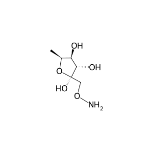 C[C@@H]1O[C@](O)(CON)[C@@H](O)[C@@H]1O